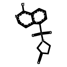 O=C1CCN(S(=O)(=O)c2cccc3c(Cl)nccc23)C1